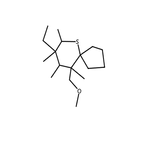 CCC1(C)C(C)SC2(CCCC2)C(C)(COC)C1C